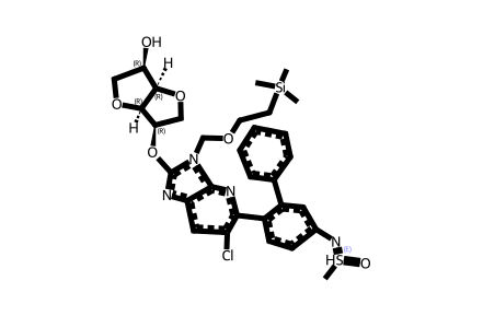 C/[SH](=O)=N\c1ccc(-c2nc3c(cc2Cl)nc(O[C@@H]2CO[C@H]4[C@@H]2OC[C@H]4O)n3COCC[Si](C)(C)C)c(-c2ccccc2)c1